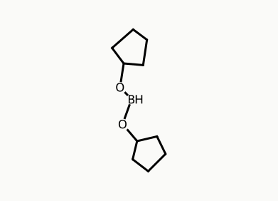 B(OC1CCCC1)OC1CCCC1